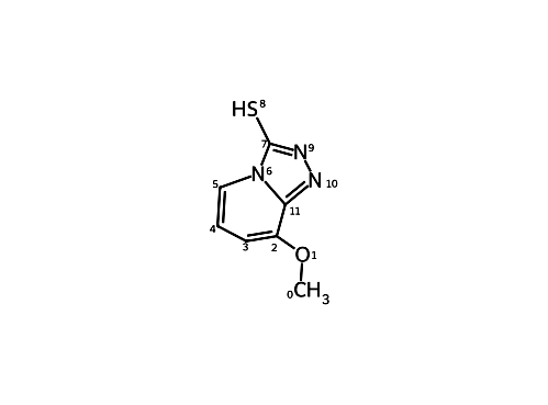 COc1cccn2c(S)nnc12